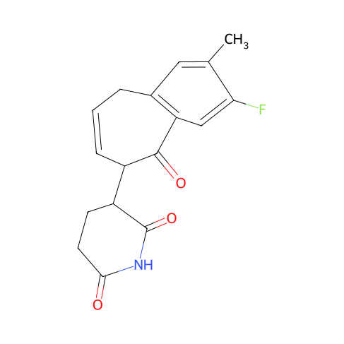 Cc1cc2c(cc1F)C(=O)C(C1CCC(=O)NC1=O)C=CC2